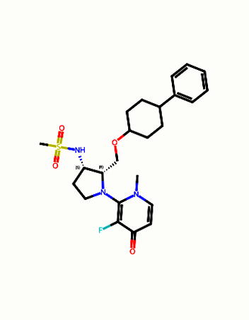 Cn1ccc(=O)c(F)c1N1CC[C@H](NS(C)(=O)=O)[C@@H]1COC1CCC(c2ccccc2)CC1